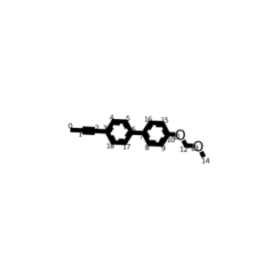 CC#Cc1ccc(-c2ccc(OCOC)cc2)cc1